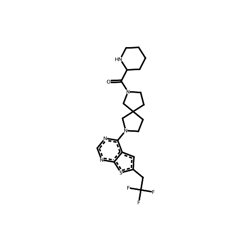 O=C(C1CCCCN1)N1CCC2(CCN(c3ncnc4sc(CC(F)(F)F)cc34)C2)C1